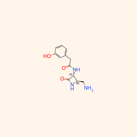 NC[C@H]1NC(=O)[C@H]1NC(=O)Cc1cccc(O)c1